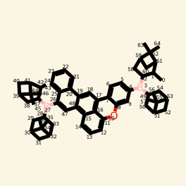 CC1C(B(c2ccc3c(c2)Oc2cccc4c2c-3cc2c3ccccc3c(B(C3CC5CC(C3)C5(C)C)C3CC5CC(C3C)C5(C)C)cc42)C2CC3CC(C2)C3(C)C)CC2CC1C2(C)C